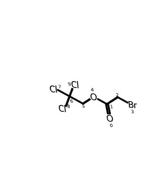 O=C(CBr)OCC(Cl)(Cl)Cl